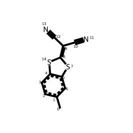 Cc1ccc2c(c1)SC(=C(C#N)C#N)S2